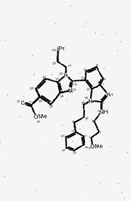 COCCCNc1nc2cccc(-c3nc4cc(C(=O)OC)ccc4n3CCC(C)C)c2n1CCCc1ccccc1